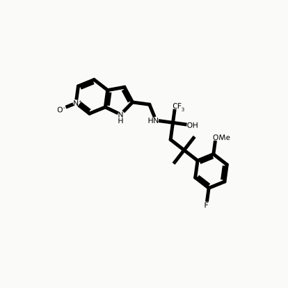 COc1ccc(F)cc1C(C)(C)CC(O)(NCc1cc2cc[n+]([O-])cc2[nH]1)C(F)(F)F